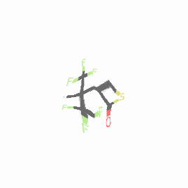 [CH2]C(C1CSC1=O)(C(F)(F)F)C(F)(F)F